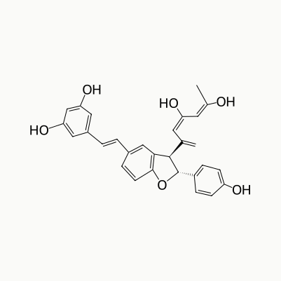 C=C(/C=C(O)\C=C(/C)O)[C@@H]1c2cc(/C=C/c3cc(O)cc(O)c3)ccc2O[C@H]1c1ccc(O)cc1